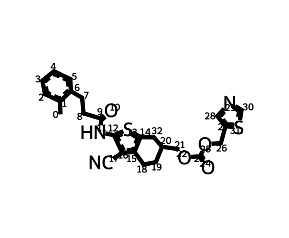 Cc1ccccc1CCC(=O)Nc1sc2c(c1C#N)CCC(COC(=O)OCc1cncs1)C2